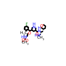 CNC[C@@H](C[C@H]1CCCOC1)NC(=O)C1CNCC([C@@H](OCCNC(=O)OC)c2cc(F)ccc2C)C1